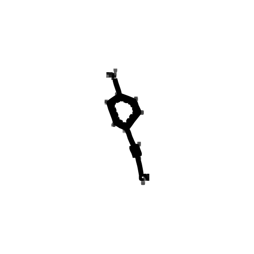 N#CC#Cc1ccc([18F])cc1